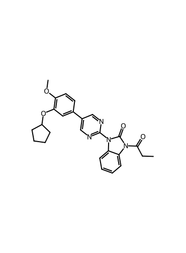 CCC(=O)n1c(=O)n(-c2ncc(-c3ccc(OC)c(OC4CCCC4)c3)cn2)c2ccccc21